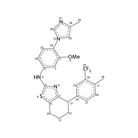 COc1cc(Nc2nc3c(s2)CCCC3c2ccc(C)c(C(F)(F)F)c2)ccc1-n1cnc(C)c1